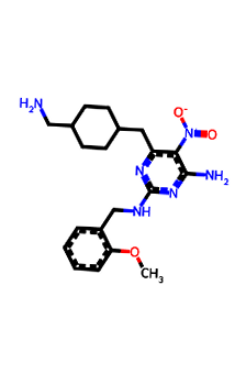 COc1ccccc1CNc1nc(N)c([N+](=O)[O-])c(CC2CCC(CN)CC2)n1